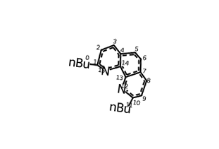 CCCCc1ccc2ccc3ccc(CCCC)nc3c2n1